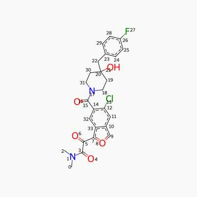 CN(C)C(=O)C(=O)c1occ2cc(Cl)c(C(=O)N3CCC(O)(Cc4ccc(F)cc4)CC3)cc12